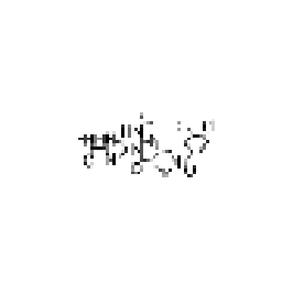 CNC(=O)c1ncc(N2C(=O)C3C[C@@H](C)N(C(=O)c4ccc(Cl)c(Cl)c4)CC3N=C2NC(C)C)cn1